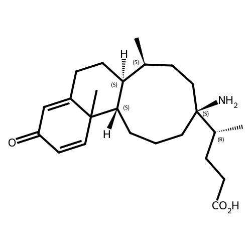 C[C@H](CCC(=O)O)[C@]1(N)CCC[C@H]2[C@@H](CCC3=CC(=O)C=CC32C)[C@@H](C)CC1